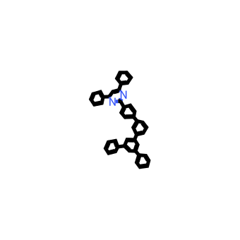 c1ccc(-c2cc(-c3ccccc3)cc(-c3cccc(-c4ccc(-c5nc(-c6ccccc6)cc(-c6ccccc6)n5)cc4)c3)c2)cc1